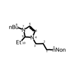 CCCCCCCCCCCCN1C=CN(CCCC)C1CC